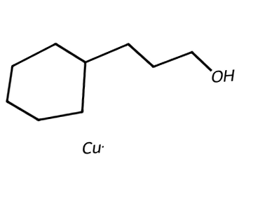 OCCCC1CCCCC1.[Cu]